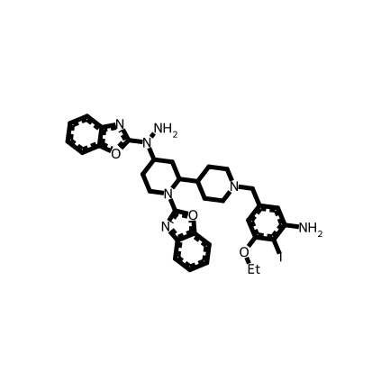 CCOc1cc(CN2CCC(C3CC(N(N)c4nc5ccccc5o4)CCN3c3nc4ccccc4o3)CC2)cc(N)c1I